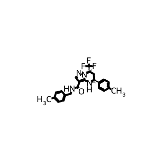 Cc1ccc(CNC(=O)c2cnn3c2N[C@H](c2ccc(C)cc2)C[C@@H]3C(F)(F)F)cc1